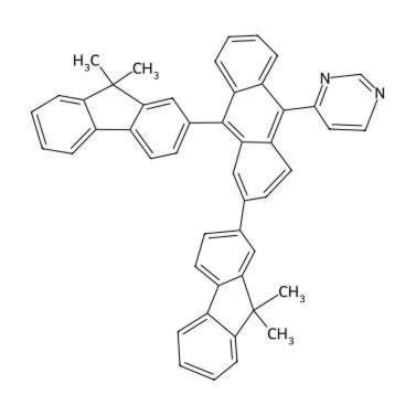 CC1(C)c2ccccc2-c2ccc(-c3ccc4c(-c5ccncn5)c5ccccc5c(-c5ccc6c(c5)C(C)(C)c5ccccc5-6)c4c3)cc21